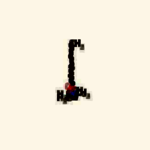 CCCCCCCCCCCCCCCCCC(=O)OON1C(C)(C)CCCC1(C)C